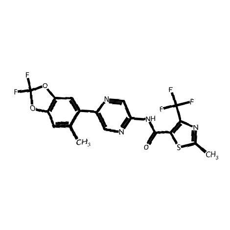 Cc1nc(C(F)(F)F)c(C(=O)Nc2cnc(-c3cc4c(cc3C)OC(F)(F)O4)cn2)s1